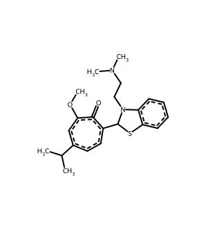 COc1cc(C(C)C)ccc(C2Sc3ccccc3N2CCN(C)C)c1=O